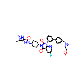 COCCN(C)Cc1ccc(-c2cccc(-n3c(=O)n(C4CCC(NC(=O)c5cc(C)n(C)n5)CC4)c(=O)c4cc(F)cnc43)c2)cc1